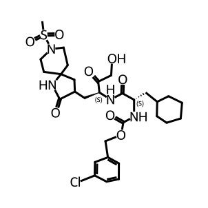 CS(=O)(=O)N1CCC2(CC1)CC(C[C@H](NC(=O)[C@H](CC1CCCCC1)NC(=O)OCc1cccc(Cl)c1)C(=O)CO)C(=O)N2